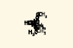 COc1ccc(C(=O)[N-]c2c[n+](N3CCN(C(C)C)CC3(C)C)no2)cc1.Cl.Cl